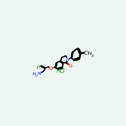 Cc1ccc(N2CCc3cc(OC/C(=C/F)CN)ccc3C2=O)cc1.Cl